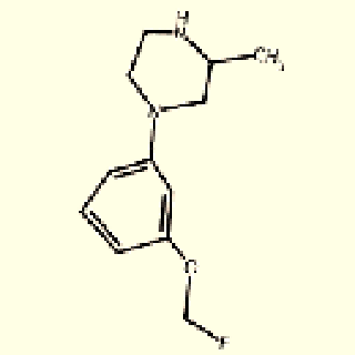 CC1CN(c2cccc(OCF)c2)CCN1